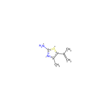 C=C(C)c1sc(N)nc1C